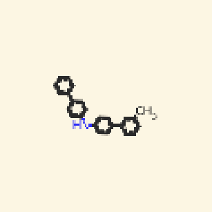 Cc1cccc(-c2ccc(Nc3ccc(-c4ccccc4)cc3)cc2)c1